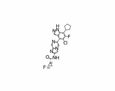 O=C(Nc1cn2cc(-c3c(Cl)c(F)c(C4CCCC4)c4[nH]ncc34)ncc2n1)[C@@H]1C[C@@H]1F